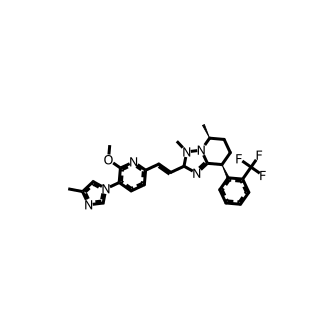 COc1nc(/C=C/C2N=C3[C@H](c4ccccc4C(F)(F)F)CC[C@H](C)N3N2C)ccc1-n1cnc(C)c1